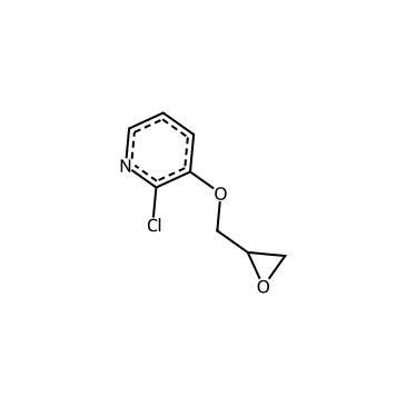 Clc1ncccc1OCC1CO1